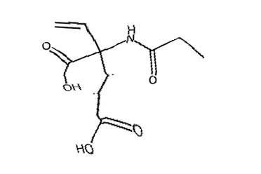 C=CC([CH][CH]C(=O)O)(NC(=O)CC)C(=O)O